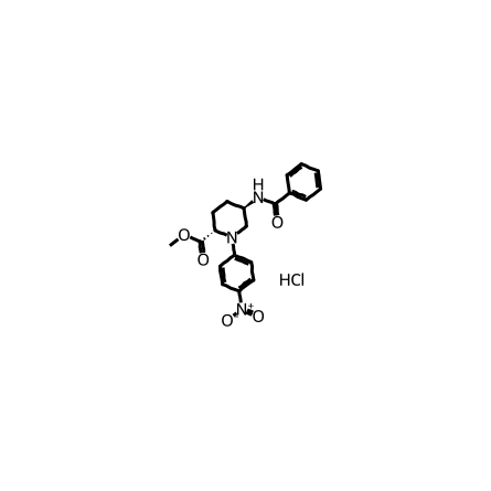 COC(=O)[C@@H]1CC[C@@H](NC(=O)c2ccccc2)CN1c1ccc([N+](=O)[O-])cc1.Cl